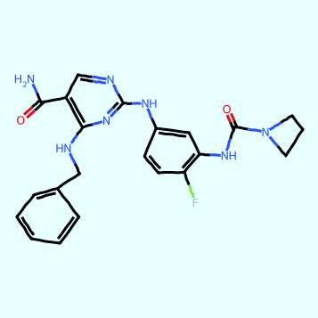 NC(=O)c1cnc(Nc2ccc(F)c(NC(=O)N3CCC3)c2)nc1NCc1ccccc1